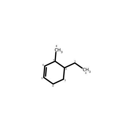 CCC1CCC=CC1C